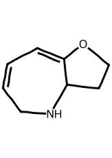 C1=CCNC2CCOC2=C1